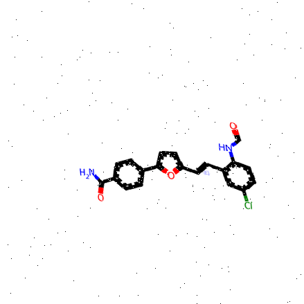 NC(=O)c1ccc(-c2ccc(/C=C/c3cc(Cl)ccc3NC=O)o2)cc1